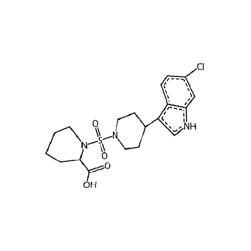 O=C(O)C1CCCCN1S(=O)(=O)N1CCC(c2c[nH]c3cc(Cl)ccc23)CC1